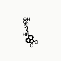 O=C1C(=O)c2ccc(NCCCSOOO)c3cccc1c23